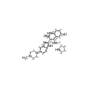 CN1CCN(c2ccc3[nH]c(-c4c(NC[C@@H]5CCCN5)c5cc(Cl)ccc5[nH]c4=O)nc3c2)CC1